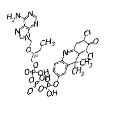 CC[C@@H](COP(=O)(O)OP(=O)(O)OP(=O)(O)Oc1ccc2c(c1)C(C)(C)C1=C(Cl)C(=O)C(Cl)=CC1=N2)OCn1cnc2c(N)ncnc21